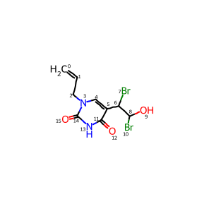 C=CCn1cc(C(Br)C(O)Br)c(=O)[nH]c1=O